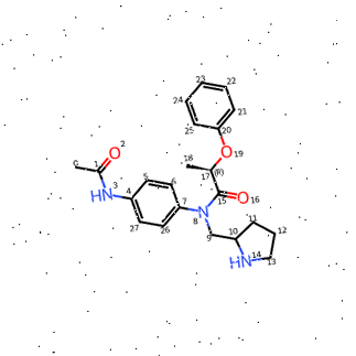 CC(=O)Nc1ccc(N(CC2CCCN2)C(=O)[C@@H](C)Oc2ccccc2)cc1